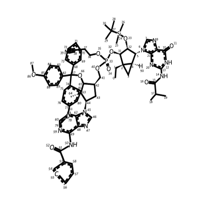 CC[C@]12C[C@@H]1[C@@H](n1cnc3c(=O)[nH]c(NC(=O)C(C)C)nc31)[C@H](O[Si](C)(C)C(C)(C)C)[C@@H]2OP(=O)(OCCC#N)OC[C@H]1C[C@@H](n2cnc3c(NC(=O)c4ccccc4)ncnc32)[C@H](C)C1OC(c1ccccc1)(c1ccc(OC)cc1)c1ccc(OC)cc1